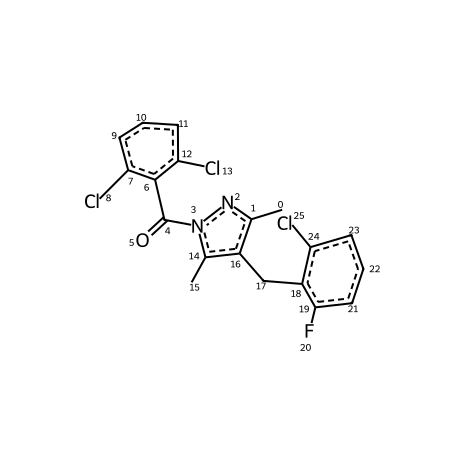 Cc1nn(C(=O)c2c(Cl)cccc2Cl)c(C)c1Cc1c(F)cccc1Cl